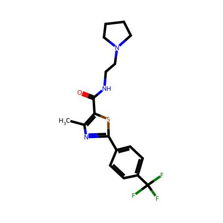 Cc1nc(-c2ccc(C(F)(F)F)cc2)sc1C(=O)NCCN1CCCC1